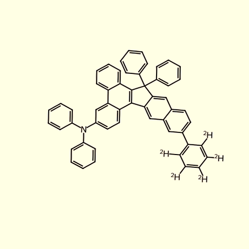 [2H]c1c([2H])c([2H])c(-c2ccc3cc4c(cc3c2)-c2c(c3ccccc3c3cc(N(c5ccccc5)c5ccccc5)ccc23)C4(c2ccccc2)c2ccccc2)c([2H])c1[2H]